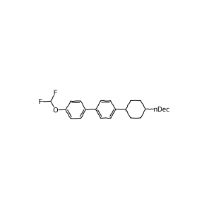 CCCCCCCCCCC1CC[C](c2ccc(-c3ccc(OC(F)F)cc3)cc2)CC1